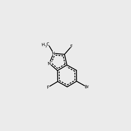 Cn1nc2c(F)cc(Br)cc2c1F